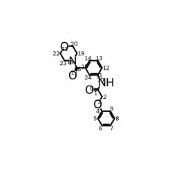 O=C(COc1ccccc1)Nc1cccc(C(=O)N2CCOCC2)c1